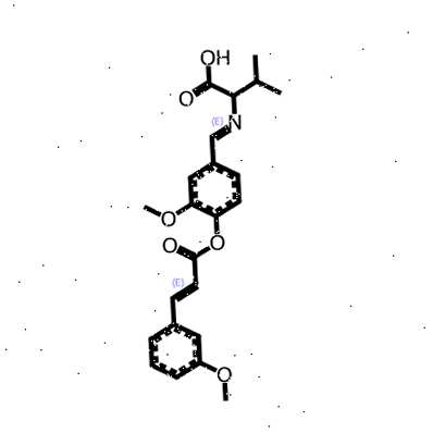 COc1cccc(/C=C/C(=O)Oc2ccc(/C=N/C(C(=O)O)C(C)C)cc2OC)c1